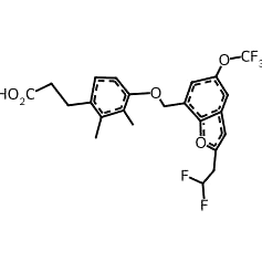 Cc1c(CCC(=O)O)ccc(OCc2cc(OC(F)(F)F)cc3cc(CC(F)F)oc23)c1C